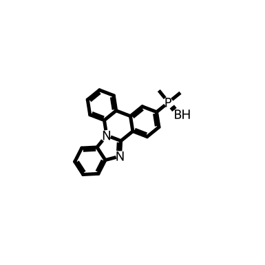 B=P(C)(C)c1ccc2c(c1)c1ccccc1n1c3ccccc3nc21